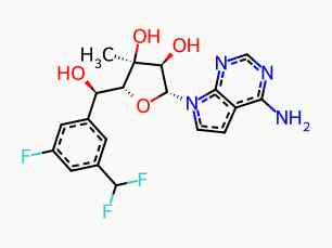 C[C@@]1(O)[C@@H]([C@H](O)c2cc(F)cc(C(F)F)c2)O[C@@H](n2ccc3c(N)ncnc32)[C@@H]1O